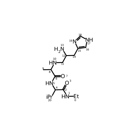 CCNC(=O)C(NC(=O)C(C)NCC(N)Cc1c[nH]cn1)C(C)C